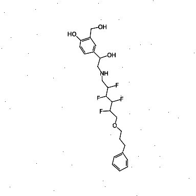 OCc1cc(C(O)CNCC(F)C(F)C(F)C(F)COCCCc2ccccc2)ccc1O